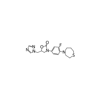 O=C1OC(Cn2cncn2)CN1c1ccc(N2CCCSCC2)c(F)c1